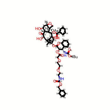 CC(=O)O[C@@]12CO[C@@H]1C[C@H](O)[C@@]1(C)C(=O)[C@H](O)C3=C(C)[C@@H](OC(=O)[C@H](OC(=O)COCCOCCNC(=O)OCc4ccccc4)[C@@H](NC(=O)OC(C)(C)C)c4ccccc4)C[C@@](O)([C@@H](OC(=O)c4ccccc4)[C@H]21)C3(C)C